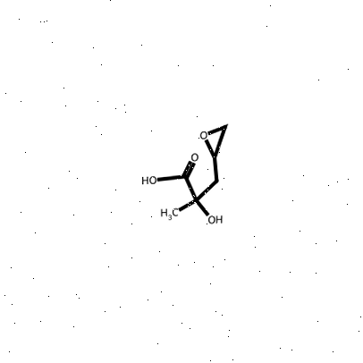 CC(O)(CC1CO1)C(=O)O